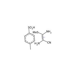 CS/C(N)=C(\N)C#N.Cc1ccc(S(=O)(=O)O)cc1